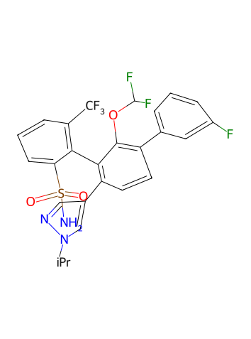 CC(C)n1cc(-c2ccc(-c3cccc(F)c3)c(OC(F)F)c2-c2c(C(F)(F)F)cccc2S(N)(=O)=O)cn1